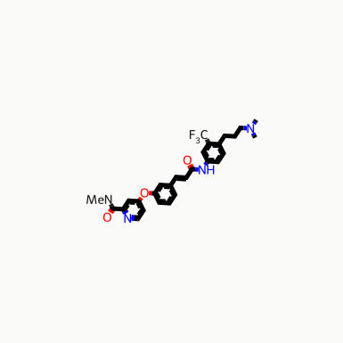 CNC(=O)c1cc(Oc2cccc(C=CC(=O)Nc3ccc(CCCN(C)C)c(C(F)(F)F)c3)c2)ccn1